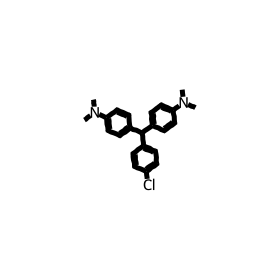 CN(C)c1ccc(C(c2ccc(Cl)cc2)c2ccc(N(C)C)cc2)cc1